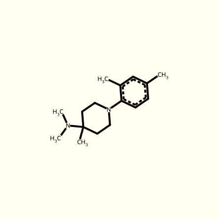 Cc1ccc(N2CCC(C)(N(C)C)CC2)c(C)c1